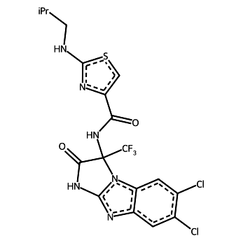 CC(C)CNc1nc(C(=O)NC2(C(F)(F)F)C(=O)Nc3nc4cc(Cl)c(Cl)cc4n32)cs1